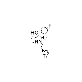 O=C(NCCn1ccnc1)C(O)(c1ccc(F)cc1)C1CCCC1